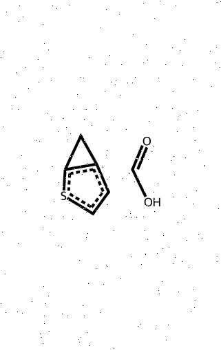 O=CO.c1cc2c(s1)C2